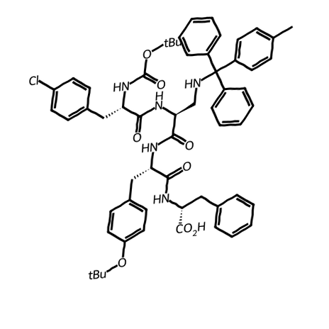 Cc1ccc(C(NC[C@H](NC(=O)[C@H](Cc2ccc(Cl)cc2)NC(=O)OC(C)(C)C)C(=O)N[C@@H](Cc2ccc(OC(C)(C)C)cc2)C(=O)N[C@H](Cc2ccccc2)C(=O)O)(c2ccccc2)c2ccccc2)cc1